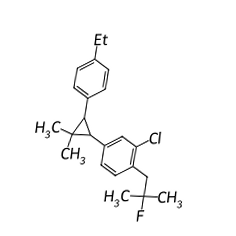 CCc1ccc(C2C(c3ccc(CC(C)(C)F)c(Cl)c3)C2(C)C)cc1